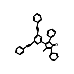 CC1=C(c2ccccc2)C(=O)C(c2ccccc2)=C1c1cc(C#Cc2ccccc2)cc(C#Cc2ccccc2)c1